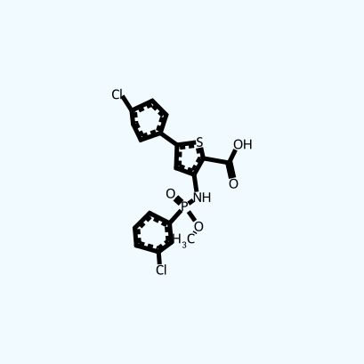 COP(=O)(Nc1cc(-c2ccc(Cl)cc2)sc1C(=O)O)c1cccc(Cl)c1